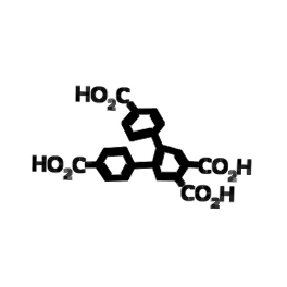 O=C(O)c1ccc(-c2cc(C(=O)O)c(C(=O)O)cc2-c2ccc(C(=O)O)cc2)cc1